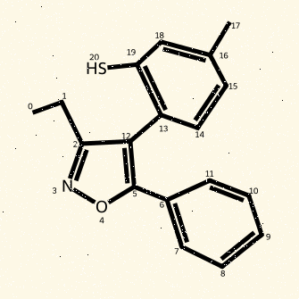 CCc1noc(-c2ccccc2)c1-c1ccc(C)cc1S